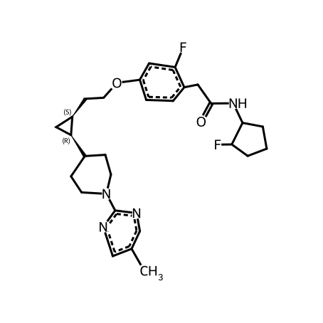 Cc1cnc(N2CCC([C@H]3C[C@H]3CCOc3ccc(CC(=O)NC4CCCC4F)c(F)c3)CC2)nc1